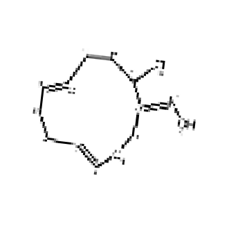 O/N=C1\CC/C=C/CC/C=C/CCC1Cl